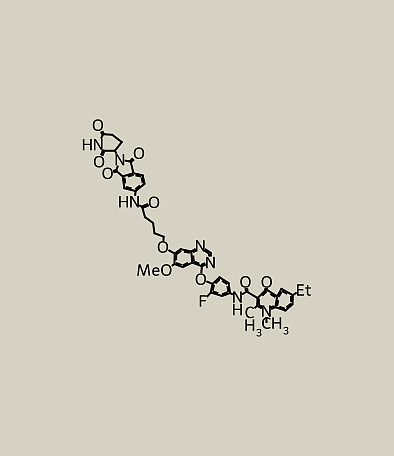 CCc1ccc2c(c1)c(=O)c(C(=O)Nc1ccc(Oc3ncnc4cc(OCCCCC(=O)Nc5ccc6c(c5)C(=O)N(C5CCC(=O)NC5=O)C6=O)c(OC)cc34)c(F)c1)c(C)n2C